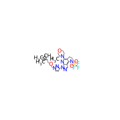 C[C@@H]1COCCN1c1nc2c(cnn2-c2ccn(COCC[Si](C)(C)C)n2)c2c1CCN2S(=O)(=O)C(F)(F)F